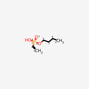 C=CP(=O)(O)OCCCC